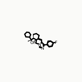 C[C@]12Cn3cnc(-c4ccc(F)cc4)c3C=C1CCC[C@@H]2[C@](C)(O)C1CCCCC1